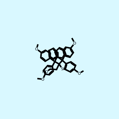 COc1ccc(C(c2ccccc2)(c2ccc(OC)cc2)C(S)(CCO)C(c2ccccc2)(c2ccc(OC)cc2)c2ccc(OC)cc2)cc1